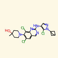 CC1(O)CCN(c2c(Cl)cc3cnc(Nc4cnn(C56CC(C5)C6)c4Cl)nc3c2Cl)CC1